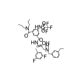 CCCN(CCC)C(=O)c1cc(NS(=O)(=O)C(F)(F)F)cc(C(=O)N[C@@H](Cc2cc(F)cc(F)c2)[C@H](O)CNCc2cccc(CC)c2)c1